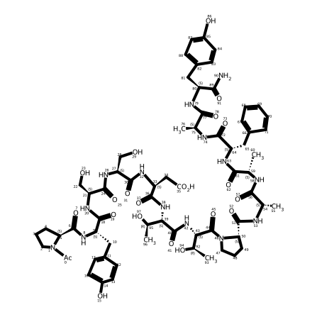 CC(=O)N1CCC[C@H]1C(=O)N[C@@H](Cc1ccc(O)cc1)C(=O)N[C@@H](CO)C(=O)N[C@@H](CO)C(=O)N[C@@H](CC(=O)O)C(=O)N[C@H](C(=O)N[C@H](C(=O)N1CCC[C@H]1C(=O)N[C@@H](C)C(=O)N[C@@H](C)C(=O)N[C@@H](Cc1ccccc1)C(=O)N[C@@H](C)C(=O)N[C@@H](Cc1ccc(O)cc1)C(N)=O)[C@@H](C)O)[C@@H](C)O